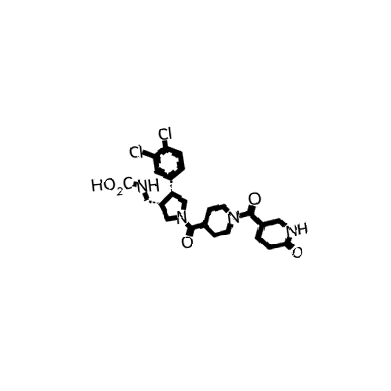 O=C(O)NC[C@H]1CN(C(=O)C2CCN(C(=O)C3CCC(=O)NC3)CC2)C[C@H]1c1ccc(Cl)c(Cl)c1